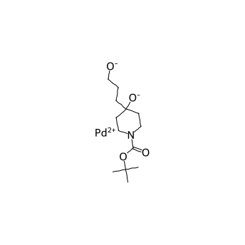 CC(C)(C)OC(=O)N1CCC([O-])(CCC[O-])CC1.[Pd+2]